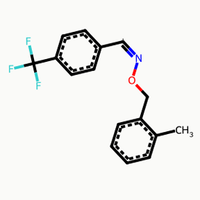 Cc1ccccc1CO/N=[C]\c1ccc(C(F)(F)F)cc1